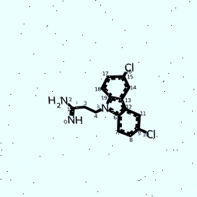 N=C(N)CCn1c2ccc(Cl)cc2c2cc(Cl)ccc21